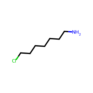 NCCCCCCCCl